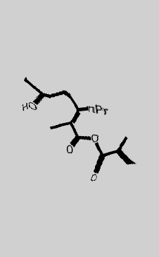 C=C(C)C(=O)OC(=O)C(C)=C(CCC)CC(C)O